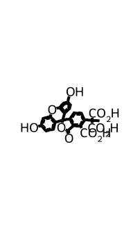 CC(C(=O)O)(C(=O)O)c1ccc2c(c1C(=O)O)C(=O)OC21c2ccc(O)cc2Oc2cc(O)ccc21